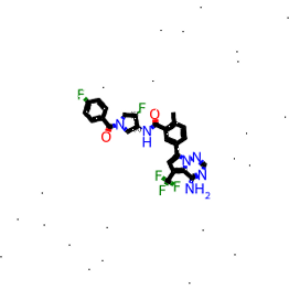 Cc1ccc(-c2cc(C(F)(F)F)c3c(N)ncnn23)cc1C(=O)N[C@@H]1CN(C(=O)c2ccc(F)cc2)C[C@@H]1F